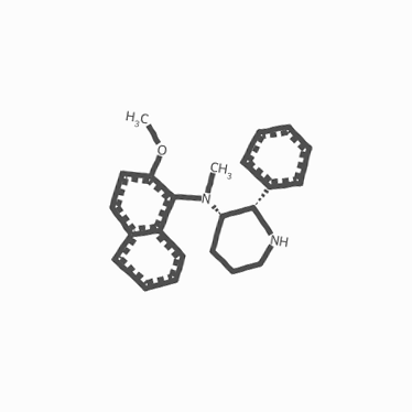 COc1ccc2ccccc2c1N(C)[C@H]1CCCN[C@H]1c1ccccc1